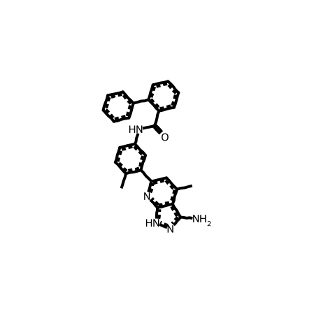 Cc1ccc(NC(=O)c2ccccc2-c2ccccc2)cc1-c1cc(C)c2c(N)n[nH]c2n1